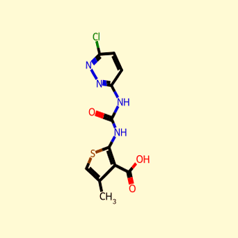 Cc1csc(NC(=O)Nc2ccc(Cl)nn2)c1C(=O)O